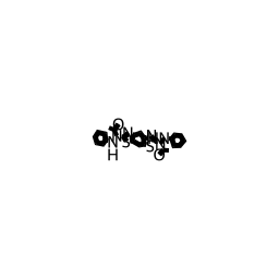 CC(=O)N(Nc1ccccc1)c1nc2cc3nc(N(Nc4ccccc4)C(C)=O)sc3cc2s1